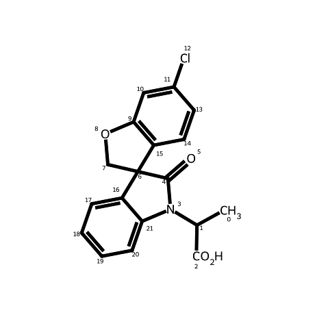 CC(C(=O)O)N1C(=O)C2(COc3cc(Cl)ccc32)c2ccccc21